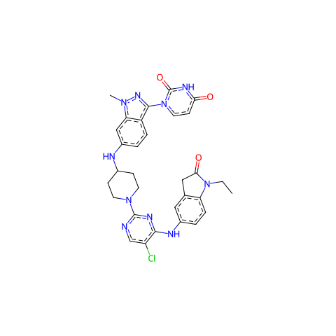 CCN1C(=O)Cc2cc(Nc3nc(N4CCC(Nc5ccc6c(-n7ccc(=O)[nH]c7=O)nn(C)c6c5)CC4)ncc3Cl)ccc21